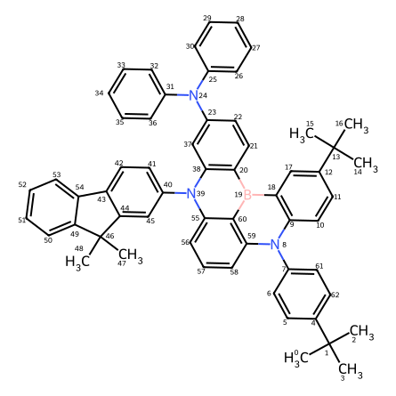 CC(C)(C)c1ccc(N2c3ccc(C(C)(C)C)cc3B3c4ccc(N(c5ccccc5)c5ccccc5)cc4N(c4ccc5c(c4)C(C)(C)c4ccccc4-5)c4cccc2c43)cc1